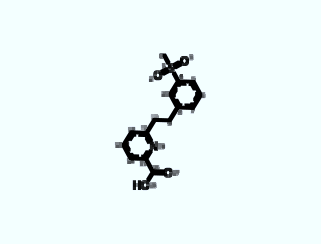 CS(=O)(=O)c1cccc(CCc2cccc(C(=O)O)n2)c1